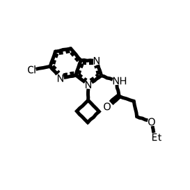 CCOCCC(=O)Nc1nc2ccc(Cl)nc2n1C1CCC1